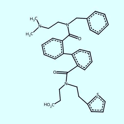 CN(C)CCN(Cc1ccccc1)C(=O)c1ccccc1-c1ccccc1C(=O)N(CCC(=O)O)CCc1cccs1